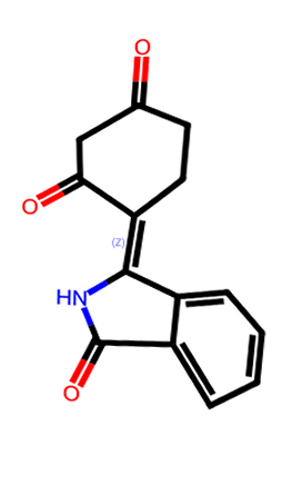 O=C1CC/C(=C2/NC(=O)c3ccccc32)C(=O)C1